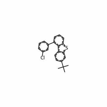 CC(C)(C)c1ccc2c(c1)sc1cccc(-c3cccc(Cl)c3)c12